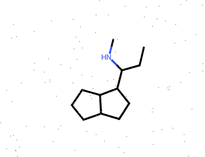 CCC(NC)C1CCC2CCCC21